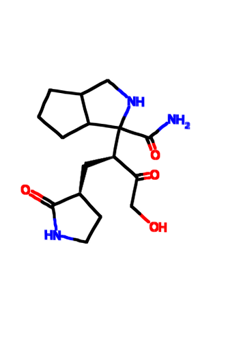 NC(=O)C1([C@H](C[C@H]2CCNC2=O)C(=O)CO)NCC2CCCC21